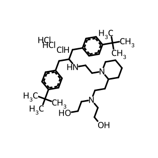 CC(C)(C)c1ccc(CC(Cc2ccc(C(C)(C)C)cc2)NCCN2CCCCC2CCN(CCO)CCO)cc1.Cl.Cl.Cl